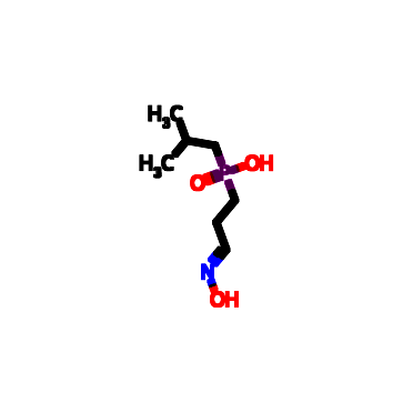 CC(C)CP(=O)(O)CCC=NO